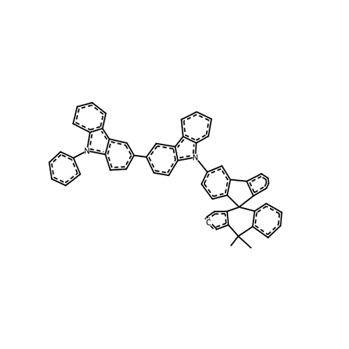 CC1(C)c2ccccc2C2(c3ccccc3-c3cc(-n4c5ccccc5c5cc(-c6ccc7c(c6)c6ccccc6n7-c6ccccc6)ccc54)ccc32)c2ccccc21